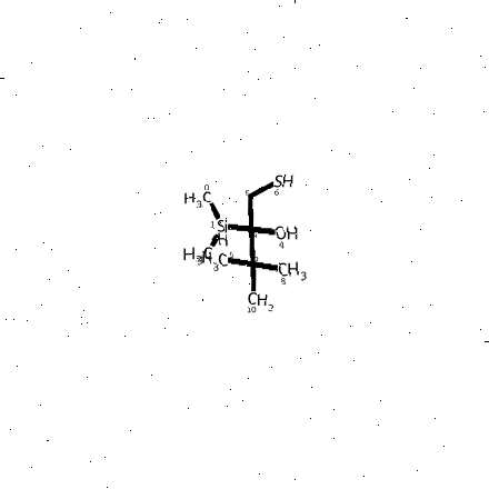 C[SiH](C)C(O)(CS)C(C)(C)C